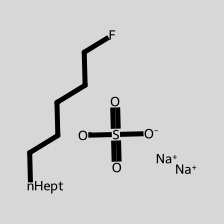 CCCCCCCCCCCCF.O=S(=O)([O-])[O-].[Na+].[Na+]